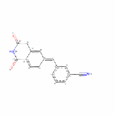 N#Cc1cccc(C=C2C=C3CC(=O)NC(=O)C3=CC2)c1